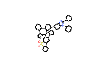 O=S1(=O)c2ccccc2-c2cc3c(cc21)C1(c2ccccc2-c2ccccc2-c2ccc(-c4ccc5c(c4)nc(-c4ccccc4)n5-c4ccccc4)cc21)c1ccccc1-3